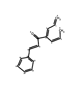 C=C/C=C(\C=C/C)C(=O)/C=C/c1ccccc1